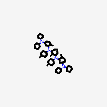 Cc1ccc(N(c2cc(N(c3ccccc3)c3ccccc3)ccc2C)c2cccc(N(c3ccc(C)cc3)c3cc(N(c4ccccc4)c4ccccc4)ccc3C)c2C)cc1